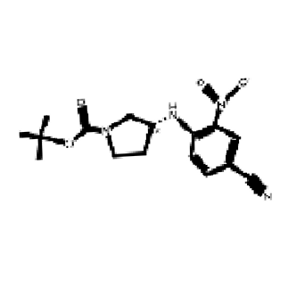 CC(C)(C)OC(=O)N1CC[C@@H](Nc2ccc(C#N)cc2[N+](=O)[O-])C1